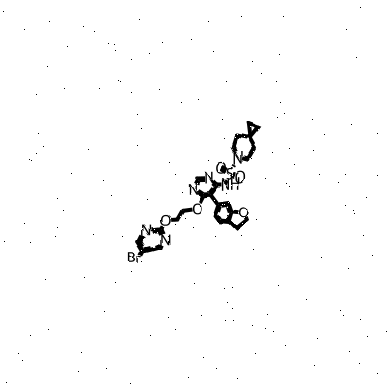 O=S(=O)(Nc1ncnc(OCCOc2ncc(Br)cn2)c1-c1ccc2c(c1)OCC2)N1CCC2(CC1)CC2